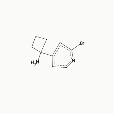 NC1(c2ccnc(Br)c2)CCC1